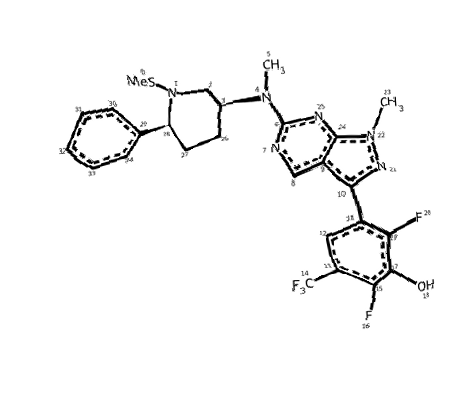 CSN1C[C@@H](N(C)c2ncc3c(-c4cc(C(F)(F)F)c(F)c(O)c4F)nn(C)c3n2)CC[C@H]1c1ccccc1